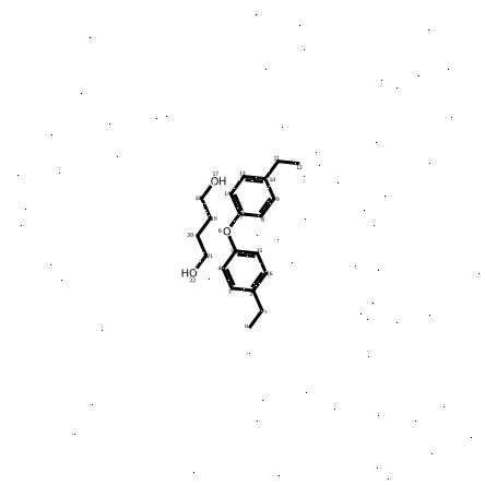 CCc1ccc(Oc2ccc(CC)cc2)cc1.OCCCCO